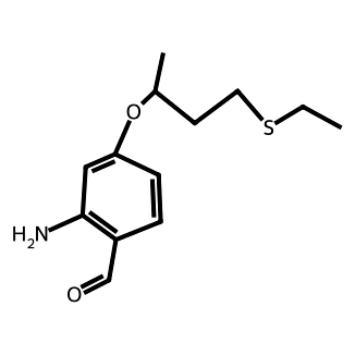 CCSCCC(C)Oc1ccc(C=O)c(N)c1